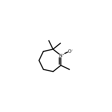 CC1=[N+]([O-])C(C)(C)CCCC1